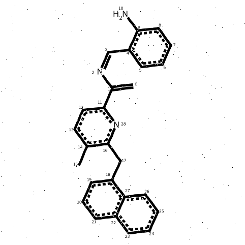 C=C(/N=C\c1ccccc1N)c1ccc(C)c(Cc2cccc3ccccc23)n1